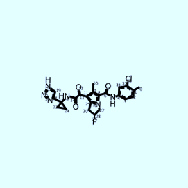 Cc1ccc(NC(=O)c2c(C)c(C(=O)C(=O)NC3(c4c[nH]nn4)CC3)c3n2C[C@@H](F)C3)cc1Cl